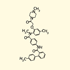 Cc1ccc(-c2ccccc2C(=O)Nc2ccc(C(=O)N(C)c3ccc(C)cc3OCC(=O)N3CCN(C)CC3)cc2)cc1